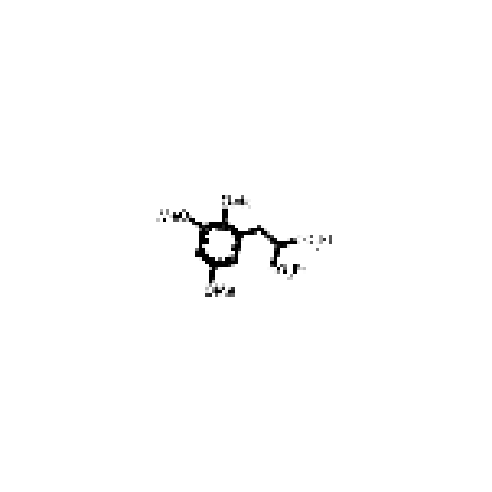 CCOC(=O)C(Cc1cc(OC)cc(OC)c1OC)C(=O)OCC